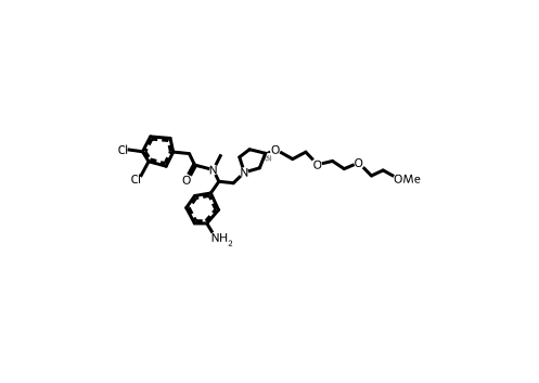 COCCOCCOCCO[C@H]1CCN(CC(c2cccc(N)c2)N(C)C(=O)Cc2ccc(Cl)c(Cl)c2)C1